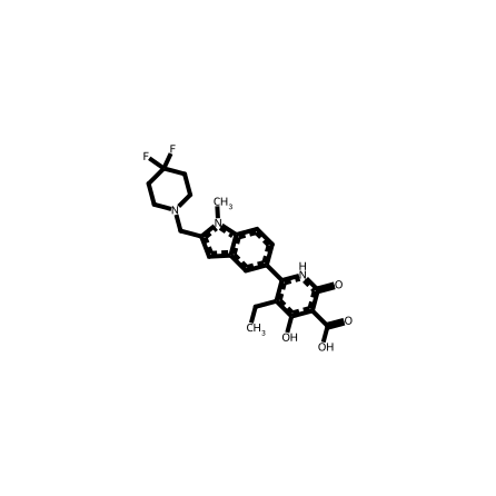 CCc1c(-c2ccc3c(c2)cc(CN2CCC(F)(F)CC2)n3C)[nH]c(=O)c(C(=O)O)c1O